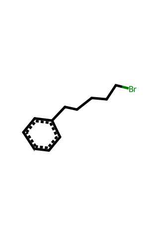 BrCCCCCc1cc[c]cc1